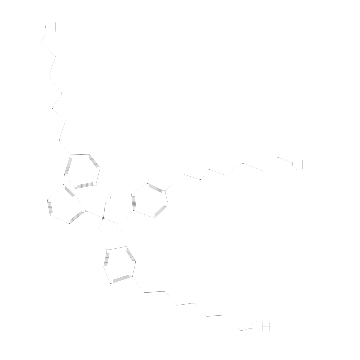 CCCCCCCCc1ccc(OC(Oc2ccc(CCCCCCCC)cc2)(Oc2ccc(CCCCCCCC)cc2)c2ccccc2)cc1